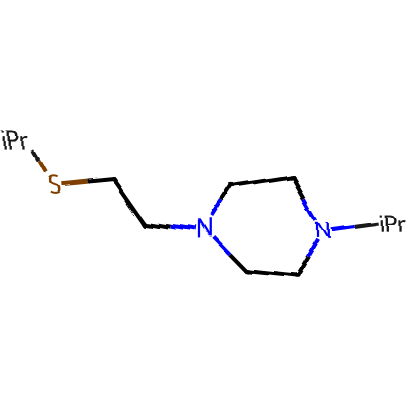 CC(C)SCCN1CCN(C(C)C)CC1